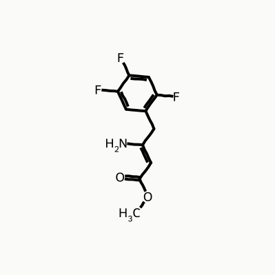 COC(=O)C=C(N)Cc1cc(F)c(F)cc1F